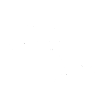 COc1cc(N2CCN(c3nccs3)CC2)c(-c2cnn(C)c2)cc1Nc1ncc(Br)c(Nc2ccc3nc(C4CC4)ccc3c2P(C)C)n1